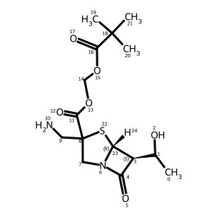 CC(O)[C@H]1C(=O)N2CC(CN)(C(=O)OCOC(=O)C(C)(C)C)S[C@H]12